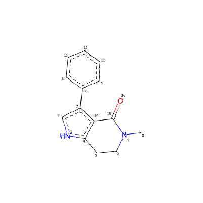 CN1CCc2[nH]cc(-c3ccccc3)c2C1=O